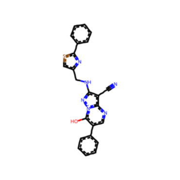 N#Cc1c(NCc2csc(-c3ccccc3)n2)nn2c(O)c(-c3ccccc3)cnc12